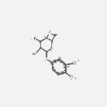 NC1C(O)C(Sc2ccc(C(F)(F)F)c(Cl)c2)OC2COC21